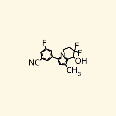 Cc1cc(-c2cc(F)cc(C#N)c2)n2c1C(O)C(F)(F)CC2